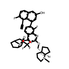 C#Cc1c(F)ccc2cc(O)cc(-c3ccc4c(N5CC6CCC(C5)N6C(=O)C(F)(F)F)nc(OC[C@]56CCC[C@H]5N(C)CCC6)nc4c3F)c12